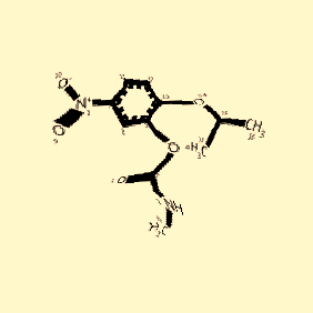 CNC(=O)Oc1cc([N+](=O)[O-])ccc1OC(C)C